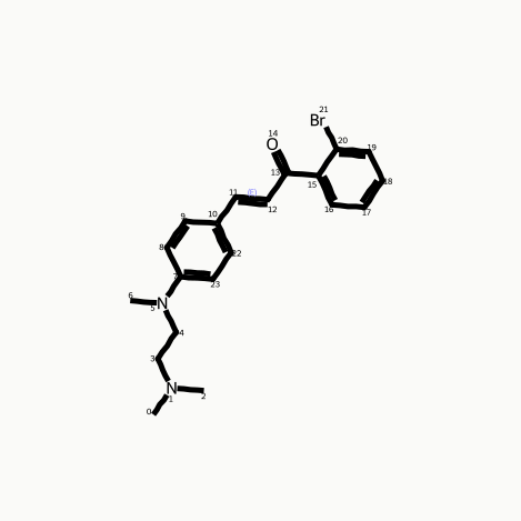 CN(C)CCN(C)c1ccc(/C=C/C(=O)c2ccccc2Br)cc1